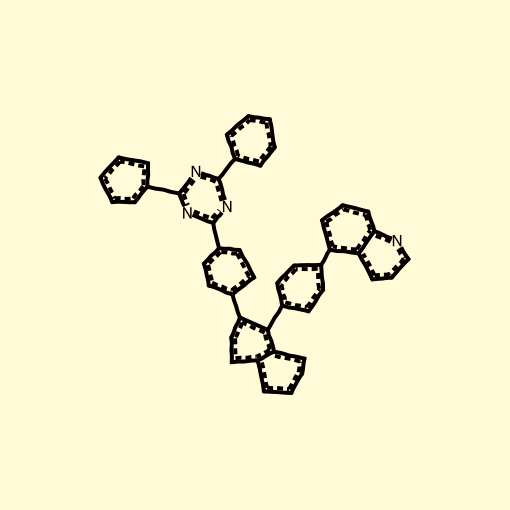 c1ccc(-c2nc(-c3ccccc3)nc(-c3ccc(-c4ccc5ccccc5c4-c4ccc(-c5cccc6ncccc56)cc4)cc3)n2)cc1